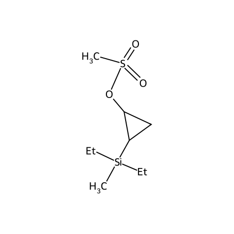 CC[Si](C)(CC)C1CC1OS(C)(=O)=O